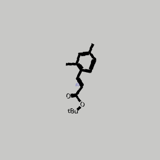 Cc1ccc(/C=C/C(=O)OC(C)(C)C)c(C)c1